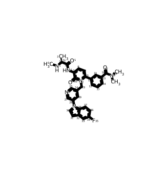 CN[C@@H](C)C(=O)Nc1ccc(-c2cccc(C(=O)N(C)C)c2)n(Cc2cncc(-n3ccc4cc(F)ccc43)c2)c1=O